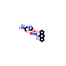 CCNC1COC2C(S(=O)(=O)NC(=O)Nc3c4c(cc5c3CCC5)CCC4)C=NN2C1